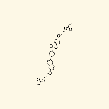 C=CC(=O)OCCCOc1ccc(OC(=O)c2ccc(-c3ccc4cc(OCCCOC(=O)C=C)ccc4c3)cc2)cc1